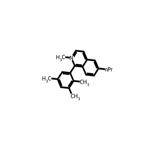 CCCc1ccc2c(-c3cc(C)cc(C)c3C)[n+](C)ccc2c1